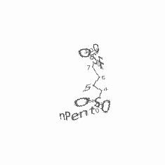 CCCCCS(=O)(=O)CCCCS(=O)(=O)F